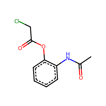 CC(=O)Nc1ccccc1OC(=O)CCl